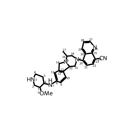 COC1CNCCC1Nc1ccc2c(c1)CN1C(C)CN(c3ccc(C#N)c4ncccc34)CC21